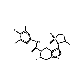 CC1CCS(=O)(=O)N1c1cnn2c1CN(C(=O)Nc1cc(F)c(F)c(F)c1)[C@@H](C)C2